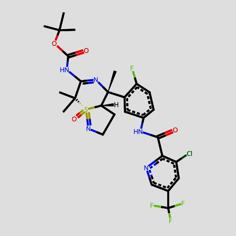 CC(C)(C)OC(=O)NC1=N[C@](C)(c2cc(NC(=O)c3ncc(C(F)(F)F)cc3Cl)ccc2F)[C@@H]2CCN=[S@]2(=O)C1(C)C